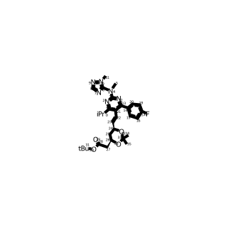 CC(C)c1nc(N(C)c2ncnn2C)nc(-c2ccc(F)cc2)c1/C=C/[C@@H]1C[C@H](CC(=O)OC(C)(C)C)OC(C)(C)O1